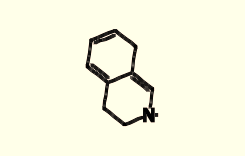 C1=CCC2=C[N]CCC2=C1